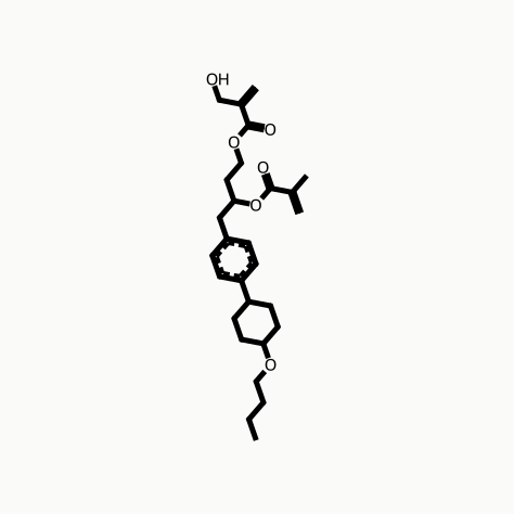 C=C(C)C(=O)OC(CCOC(=O)C(=C)CO)Cc1ccc(C2CCC(OCCCC)CC2)cc1